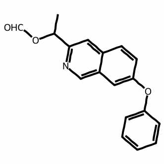 CC(OC=O)c1cc2ccc(Oc3ccccc3)cc2cn1